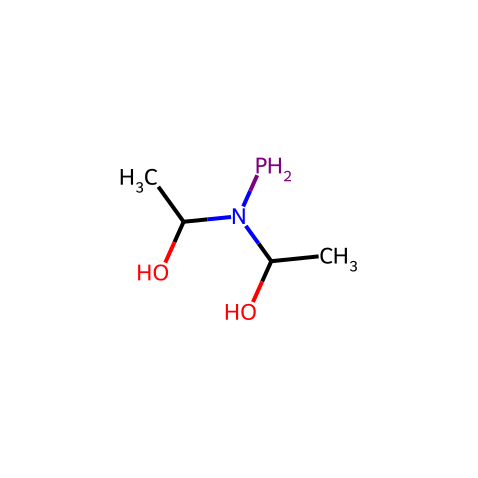 CC(O)N(P)C(C)O